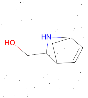 OCC1NC2C=CC1C2